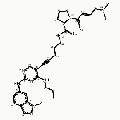 CCCNc1nc(Nc2ccc3cnn(C)c3c2)ncc1C#CCCCNC(=O)[C@@H]1CCCN1C(=O)/C=C/CN(C)C